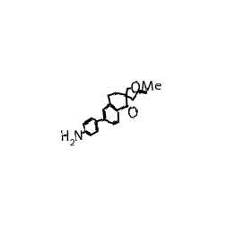 C=CCC1(COC)CCc2cc(-c3ccc(N)cc3)ccc2C1=O